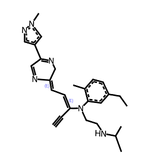 C#C/C(=C\C=C1/CN=C(c2cnn(C)c2)C=N1)N(CCNC(C)C)c1cc(CC)ccc1C